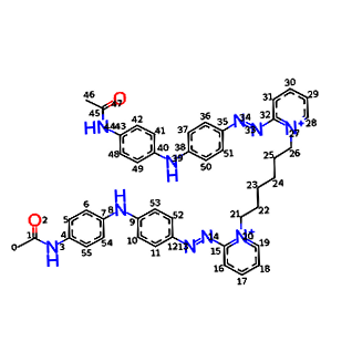 CC(=O)Nc1ccc(Nc2ccc(/N=N/c3cccc[n+]3CCCCCC[n+]3ccccc3/N=N/c3ccc(Nc4ccc(NC(C)=O)cc4)cc3)cc2)cc1